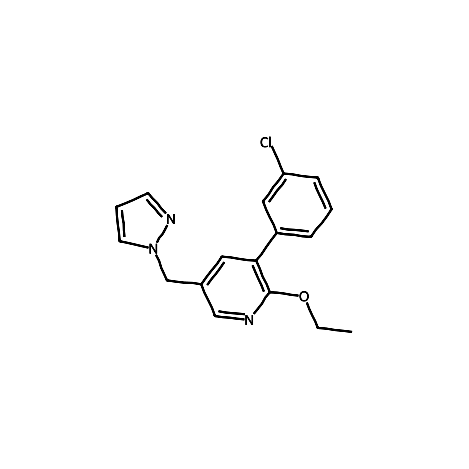 CCOc1ncc(Cn2cccn2)cc1-c1cccc(Cl)c1